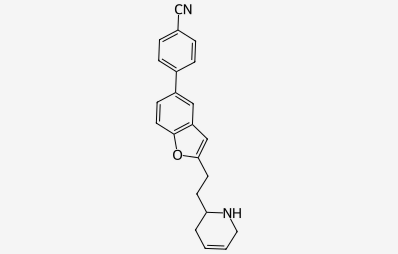 N#Cc1ccc(-c2ccc3oc(CCC4CC=CCN4)cc3c2)cc1